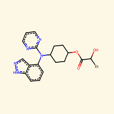 CCC(O)C(=O)OC1CCC(N(c2ncccn2)c2cccc3[nH]ncc23)CC1